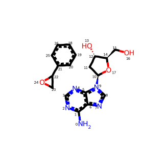 Nc1ncnc2c1ncn2[C@H]1C[C@H](O)[C@@H](CO)O1.c1ccc(C2CO2)cc1